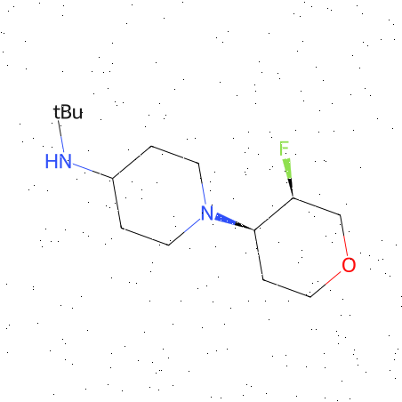 CC(C)(C)NC1CCN([C@@H]2CCOC[C@@H]2F)CC1